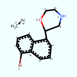 Brc1cccc2c(C3CNCCO3)cccc12.CC(C)=O